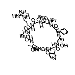 CC[C@H](C)[C@@H]1NC(=O)[C@@H](CCCNC(=N)N)NC(=O)[C@H](CC(C)C)NC(=O)[C@H]([C@H](O)C(C)C)NC(=O)[C@@H](C)[C@@H](c2ccccc2)NC(=O)[C@H](CO)NC(=O)[C@H](Cc2cccnc2)NC(=O)CNC(=O)[C@H]([C@H](C)O)NC1=O